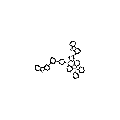 c1ccc(C2(c3ccccc3)c3ccccc3-c3c(N(c4ccc(-c5cccc(-c6ccc7sc8ccccc8c7c6)c5)cc4)c4ccc(-c5cccc6c5oc5ccccc56)cc4)cccc32)cc1